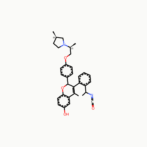 CC1=C(c2ccccc2C(C)N=C=O)C(c2ccc(OC[C@H](C)N3CC[C@@H](C)C3)cc2)Oc2ccc(O)cc21